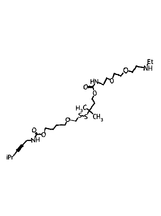 CCNCCOCCOCCNC(=O)OCCC(C)(C)SSCOCCCCOC(=O)NCC#CC(C)C